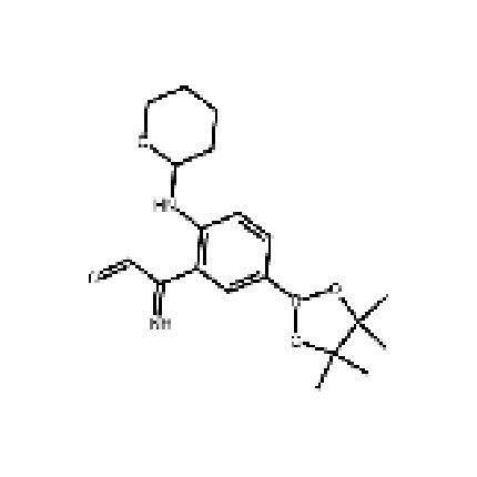 CC1(C)OB(c2ccc(NC3CCCCO3)c(C(=N)C=O)c2)OC1(C)C